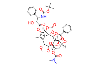 CO[C@H]1C(=O)[C@]2(C)[C@@H](OC(=O)N(C)C)C[C@H]3OC[C@@]3(OC(C)=O)[C@H]2[C@H](OC(=O)c2ccccc2)[C@]23OC(=O)O[C@H]2[C@H](OC(=O)[C@H](O)[C@@H](NC(=O)OC(C)(C)C)c2ccccc2)C(C)=C1C3(C)C